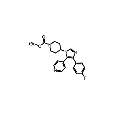 CC(C)(C)OC(=O)N1CCC(n2cnc(-c3ccc(F)cc3)c2-c2ccncc2)CC1